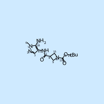 Cn1ncc(NC(=O)C2CN(C(=O)OC(C)(C)C)C2)c1N